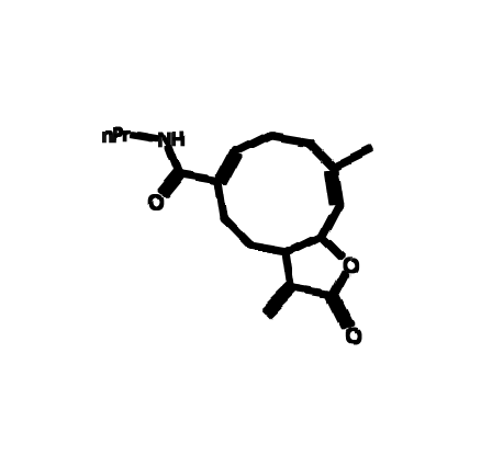 C=C1C(=O)OC2C=C(C)CCC=C(C(=O)NCCC)CCC12